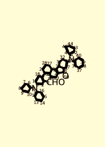 O=Cc1cc(N(c2ccccc2)c2ccccc2)ccc1C1=C2C=CC3=C(C2CC=C1)C1CCC(N(c2ccccc2)c2ccccc2)=CC1C3=O